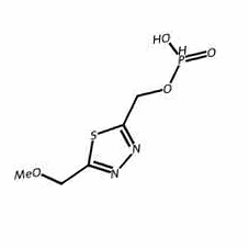 COCc1nnc(CO[PH](=O)O)s1